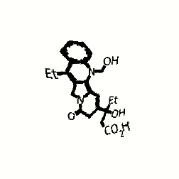 CCC1=C2CN3C(=O)CC(C(O)(CC)CC(=O)O)=CC3=C2N(CO)c2ccccc21